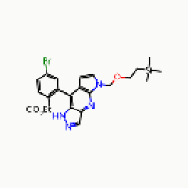 CCOC(=O)c1ccc(Br)cc1-c1c2ccn(COCC[Si](C)(C)C)c2nc2cn[nH]c12